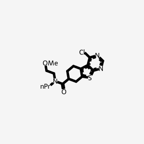 CCCN(CCOC)C(=O)C1CCc2c(sc3ncnc(Cl)c23)C1